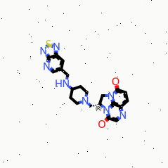 O=c1ccc2ncc(=O)n3c2n1C[C@H]3CN1CCC(NCc2cnc3nsnc3c2)CC1